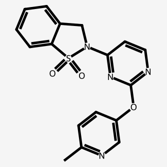 Cc1ccc(Oc2nccc(N3Cc4ccccc4S3(=O)=O)n2)cn1